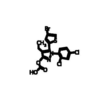 CCc1c(OC(=O)O)nn(-c2ccc(Cl)cc2Cl)c1-c1cc(Br)cs1